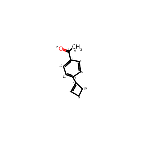 CC(=O)c1ccc(C2=CCC2)cc1